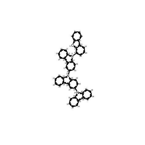 c1ccc2c(c1)oc1c(-n3c4ccccc4c4cc(-n5c6ccccc6c6cc(-n7c8ccccc8c8ccccc87)ccc65)ccc43)cccc12